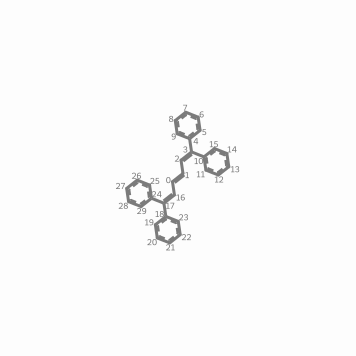 C(=CC=C(c1ccccc1)c1ccccc1)C=C(c1ccccc1)c1ccccc1